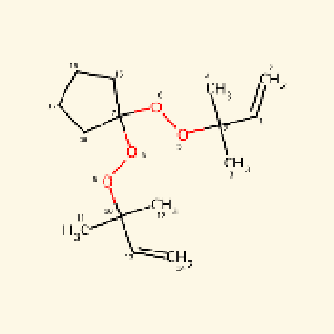 C=CC(C)(C)OOC1(OOC(C)(C)C=C)CCCC1